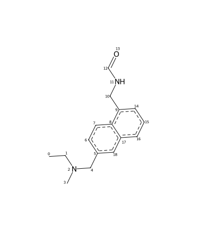 CCN(C)Cc1ccc2c(CNC=O)cccc2c1